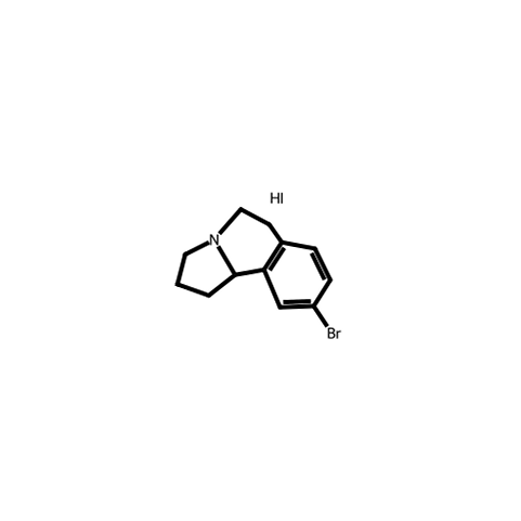 Brc1ccc2c(c1)C1CCCN1CC2.I